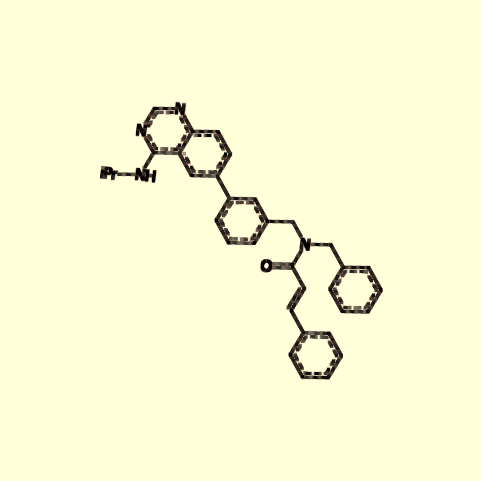 CC(C)Nc1ncnc2ccc(-c3cccc(CN(Cc4ccccc4)C(=O)C=Cc4ccccc4)c3)cc12